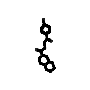 O=C(CCC(=O)N1CCN2CCCCC2C1)c1ccc(Cl)cc1